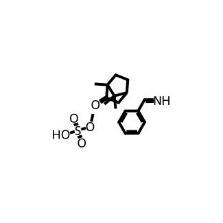 CC12CCC(CC1=O)C2(C)C.COS(=O)(=O)O.N=Cc1ccccc1